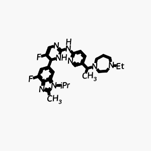 CCN1CCCN(C(C)c2ccc(NC3=NC=C(F)C(c4cc(F)c5nc(C)n(C(C)C)c5c4)N3)nc2)CC1